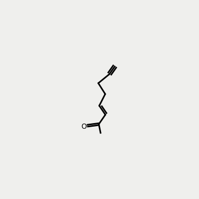 C#CCCC=CC(C)=O